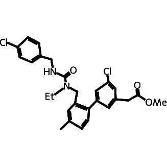 CCN(Cc1cc(C)ccc1-c1cc(Cl)cc(CC(=O)OC)c1)C(=O)NCc1ccc(Cl)cc1